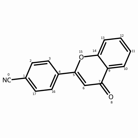 N#Cc1ccc(-c2cc(=O)c3ccccc3o2)cc1